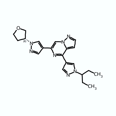 CCC(CC)n1cc(-c2nc(-c3cnn([C@@H]4CCOC4)c3)cn3nccc23)cn1